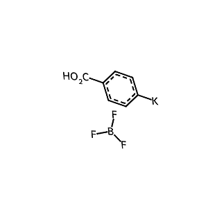 FB(F)F.O=C(O)c1cc[c]([K])cc1